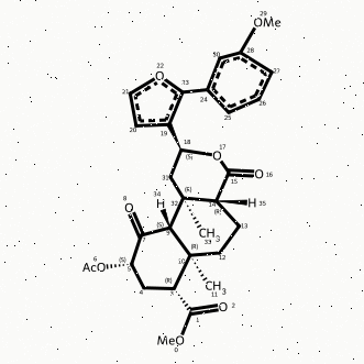 COC(=O)[C@@H]1C[C@H](OC(C)=O)C(=O)[C@H]2[C@@]1(C)CC[C@H]1C(=O)O[C@H](c3ccoc3-c3cccc(OC)c3)C[C@]21C